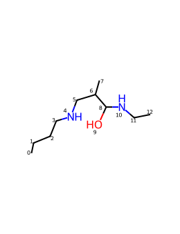 CCCCNCC(C)C(O)NCC